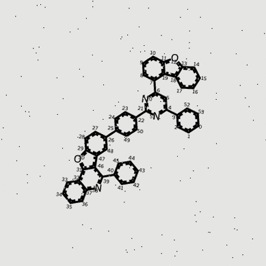 c1ccc(-c2cc(-c3cccc4oc5ccccc5c34)nc(-c3ccc(-c4ccc5oc6c7ccccc7nc(-c7ccccc7)c6c5c4)cc3)n2)cc1